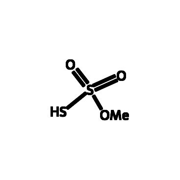 COS(=O)(=O)S